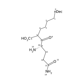 CCCCCCCCCCCCCCC(C(=O)O)C(=O)[C@@H](N)CCC(N)=O